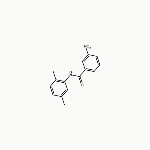 Cc1ccc(C)c(NC(=O)c2cccc([N+](=O)[O-])c2)c1